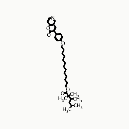 CC(C)CC(C)C(C)(C)C(=O)OCCCCCCCCCCCCCOc1ccc(-c2cc3cnccc3oc2=O)cc1